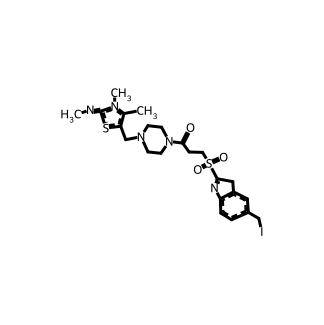 C/N=c1\sc(CN2CCN(C(=O)CCS(=O)(=O)C3=Nc4ccc(CI)cc4C3)CC2)c(C)n1C